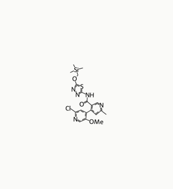 COc1cnc(Cl)cc1-c1cc(C)ncc1C(=O)Nc1nnc(OC[Si](C)(C)C)s1